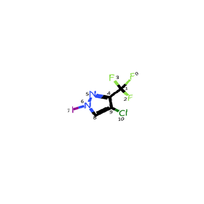 FC(F)(F)c1nn(I)cc1Cl